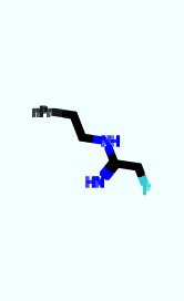 CCCCCNC(=N)CF